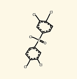 O=P(Cl)(c1ccc(Cl)c(Cl)c1)c1ccc(Cl)c(Cl)c1